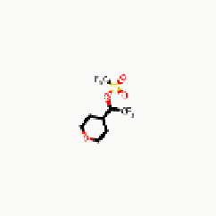 O=S(=O)(OC(C1CCOCC1)C(F)(F)F)C(F)(F)F